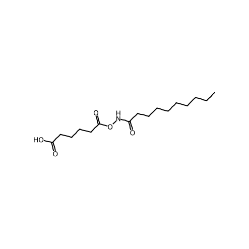 CCCCCCCCCC(=O)NOC(=O)CCCCC(=O)O